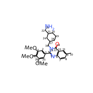 COc1cc(-c2nc3ccc(C)cc3c(=O)n2CC2CCCC(CN)C2)cc(OC)c1OC